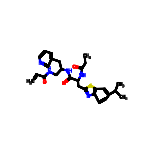 C=CC(=O)NCC(Cc1cccnc1)NC(=O)C(Cc1nc2ccc(C(C)C)cc2s1)NC(=O)CC